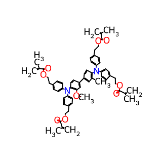 C=C(C)C(=O)OCCc1ccc(N(c2ccc(CCOC(=O)C(=C)C)cc2)c2ccc(-c3ccc(N(c4ccc(CCOC(=O)C(=C)C)cc4)c4ccc(CCOC(=O)C(=C)C)cc4)c(OC)c3)cc2C)cc1